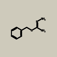 NN=C(N)OCc1ccccc1